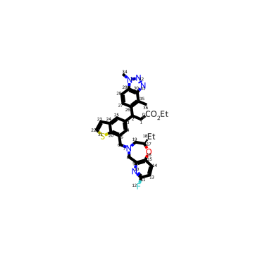 CCOC(=O)CC(c1cc(CN2Cc3nc(F)ccc3O[C@H](CC)C2)c2sccc2c1)c1ccc2c(nnn2C)c1C